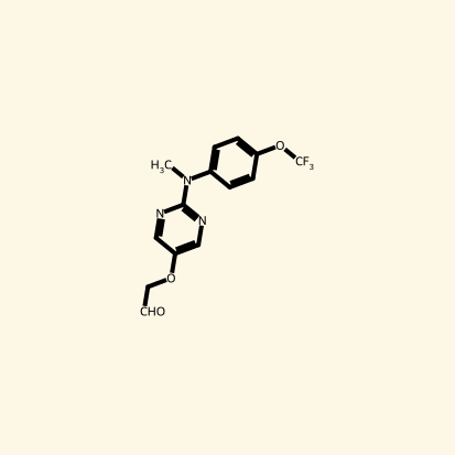 CN(c1ccc(OC(F)(F)F)cc1)c1ncc(OCC=O)cn1